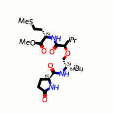 CC[C@H](C)[C@@H](COC(C(=O)N[C@@H](CCSC)C(=O)OC)C(C)C)NC(=O)[C@@H]1CCC(=O)N1